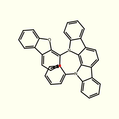 c1ccc(-n2c3ccccc3c3ccc4c5ccccc5n(-c5cccc6c5oc5ccccc56)c4c32)cc1